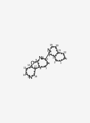 c1ccc2c(-c3ccc4c(n3)oc3ccncc34)nccc2c1